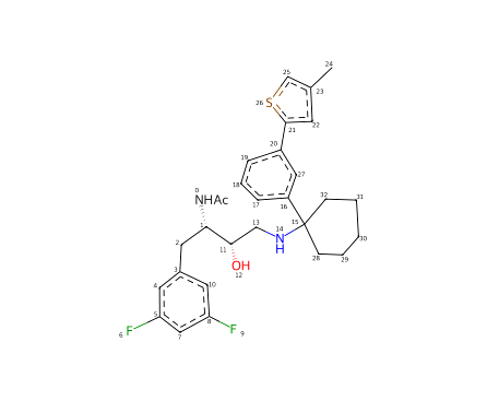 CC(=O)N[C@@H](Cc1cc(F)cc(F)c1)[C@@H](O)CNC1(c2cccc(-c3cc(C)cs3)c2)CCCCC1